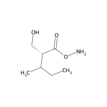 CCC(C)[C@H](CO)C(=O)ON